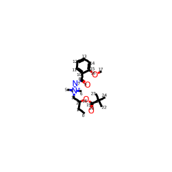 CCC(C[N+](C)(C)[N-]C(=O)c1ccccc1OC)OC(=O)C(C)(C)C